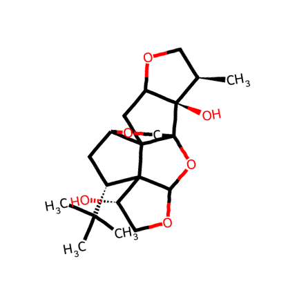 C[C@@H]1COC2CC34C5C[C@@H](C(C)(C)C)C36C(OC[C@@H]6O)OC4(CO5)[C@]21O